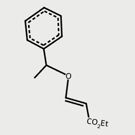 CCOC(=O)/C=C/OC(C)c1ccccc1